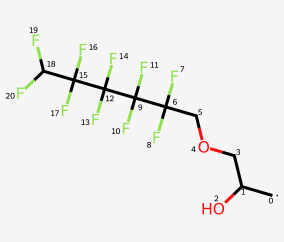 [CH2]C(O)COCC(F)(F)C(F)(F)C(F)(F)C(F)(F)C(F)F